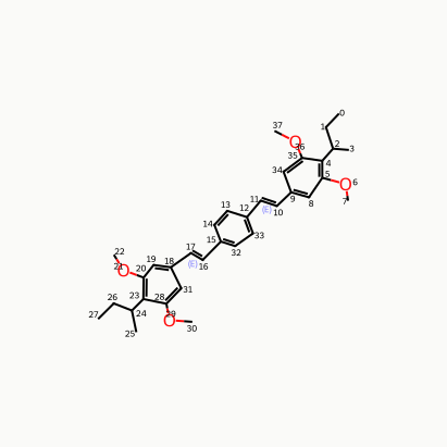 CCC(C)c1c(OC)cc(/C=C/c2ccc(/C=C/c3cc(OC)c(C(C)CC)c(OC)c3)cc2)cc1OC